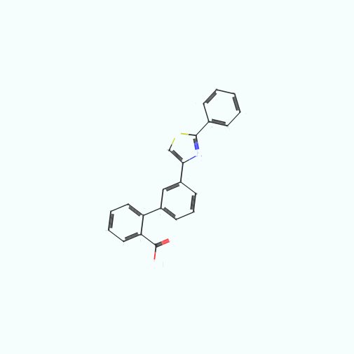 O=C(O)c1ccccc1-c1cccc(-c2csc(-c3ccccc3)n2)c1